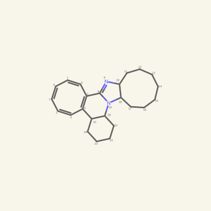 C1=C\C=C/C2=C(\C=C/1)C1=NC3CCCCCCCC3N1C1CCCCC21